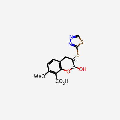 COc1ccc2c(c1C(=O)O)OB(O)[C@@H](Sc1nncs1)C2